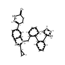 O=C1CCC(c2ccc3nc(C4CC4)n(Cc4ccccc4-c4ccccc4-c4nnn[nH]4)c3c2)=NN1